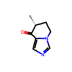 C[C@@H]1CCn2cncc2C1=O